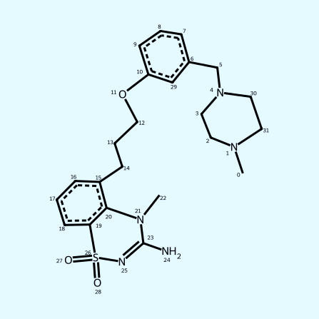 CN1CCN(Cc2cccc(OCCCc3cccc4c3N(C)C(N)=NS4(=O)=O)c2)CC1